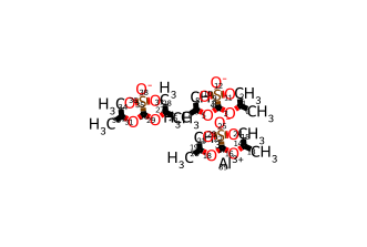 CC(C)OC(OC(C)C)S(=O)(=O)[O-].CC(C)OC(OC(C)C)S(=O)(=O)[O-].CC(C)OC(OC(C)C)S(=O)(=O)[O-].[Al+3]